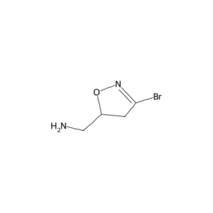 NCC1CC(Br)=NO1